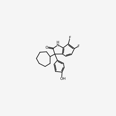 O=C1Nc2c(ccc(F)c2F)C1(c1ccc(O)cc1)C1CCCCCC1